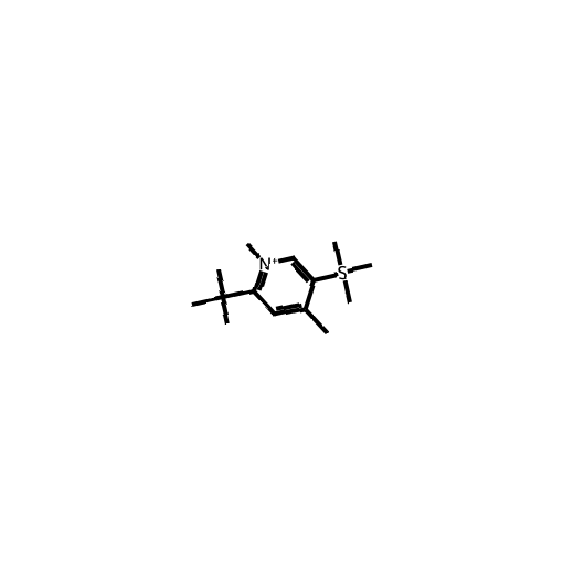 Cc1cc(C(C)(C)C)[n+](C)cc1S(C)(C)C